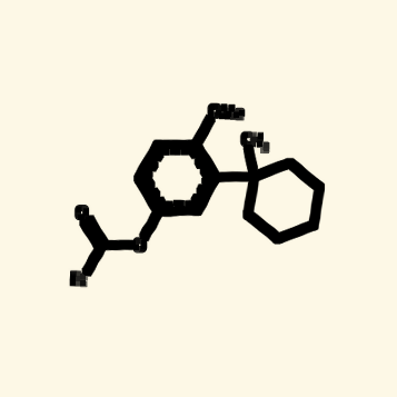 CCC(=O)Oc1ccc(OC)c(C2(C)CCCCC2)c1